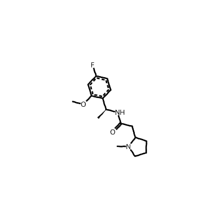 COc1cc(F)ccc1[C@H](C)NC(=O)CC1CCCN1C